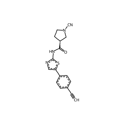 C#Cc1ccc(-c2cnc(NC(=O)[C@H]3CCN(C#N)C3)s2)cc1